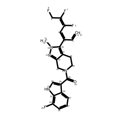 C=C/C(=C\C(F)=C(\F)CF)c1c2c(nn1C)CN(C(=O)c1c[nH]c3c(F)cccc13)CC2